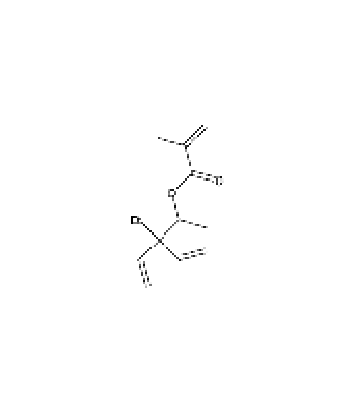 C=CC(C=C)(CC)C(C)OC(=O)C(=C)C